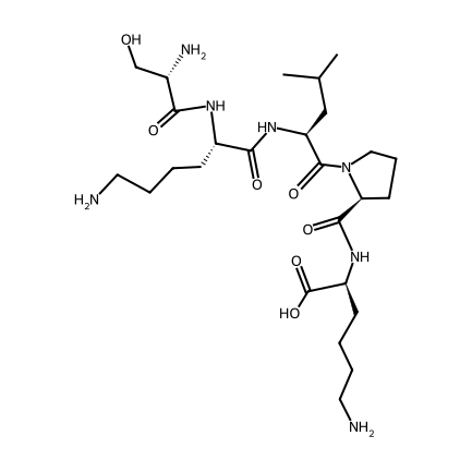 CC(C)C[C@H](NC(=O)[C@H](CCCCN)NC(=O)[C@@H](N)CO)C(=O)N1CCC[C@H]1C(=O)N[C@@H](CCCCN)C(=O)O